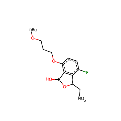 CCCCOCCCOc1ccc(F)c2c1B(O)OC2C[N+](=O)[O-]